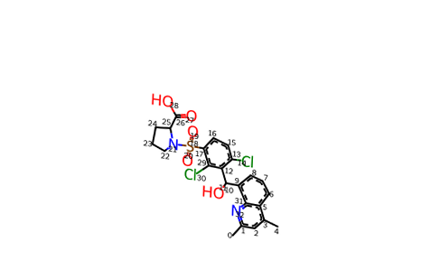 Cc1cc(C)c2cccc(C(O)c3c(Cl)ccc(S(=O)(=O)N4CCCC4C(=O)O)c3Cl)c2n1